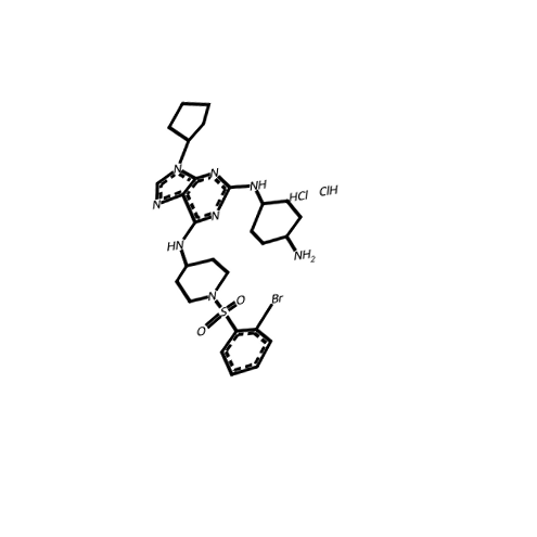 Cl.Cl.NC1CCC(Nc2nc(NC3CCN(S(=O)(=O)c4ccccc4Br)CC3)c3ncn(C4CCCC4)c3n2)CC1